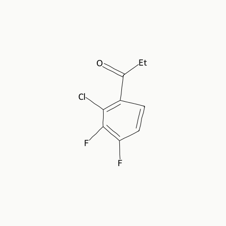 CCC(=O)c1ccc(F)c(F)c1Cl